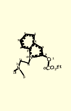 CCOC(=O)Oc1cc2ccccc2n1CCN(C)C